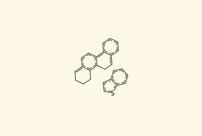 C1=c2ccc3c(c2CCC1)CC=c1ccccc1=3.c1ccc2sccc2c1